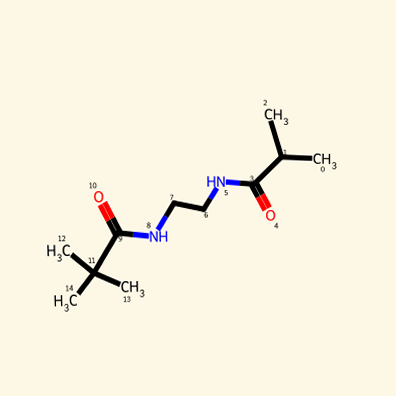 CC(C)C(=O)NCCNC(=O)C(C)(C)C